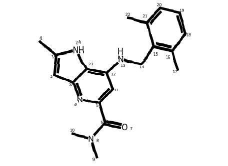 Cc1cc2nc(C(=O)N(C)C)cc(NCc3c(C)cccc3C)c2[nH]1